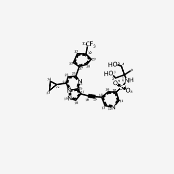 CC(CO)(CO)NS(=O)(=O)c1cncc(C#Cc2cnn3c(C4CC4)cc(-c4ccc(C(F)(F)F)cc4)nc23)c1